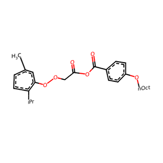 CCCCCCCCOc1ccc(C(=O)OC(=O)COOc2cc(C)ccc2C(C)C)cc1